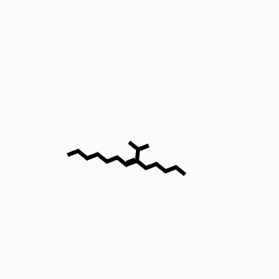 CCCCCCC=C(CCCCC)[C](C)C